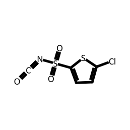 O=C=NS(=O)(=O)c1ccc(Cl)s1